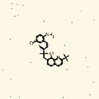 C/C=C(\C=C/c1cc(Cl)ccc1N)C(C)(C)Cc1ccc2ccc(C(C)(C)C)nc2c1Cl